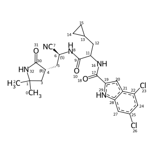 CC1(C)C[C@@H](C[C@@H](C#N)NC(=O)C(CC2CC2)NC(=O)c2cc3c(Cl)cc(Cl)cc3[nH]2)C(=O)N1